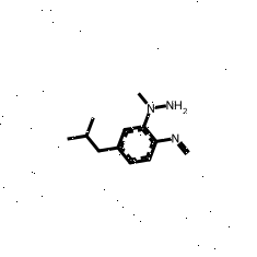 C=Nc1ccc(CC(C)C)cc1N(C)N